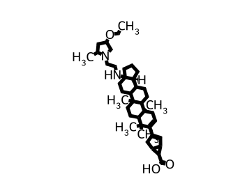 CCOC1CC(C)N(CCNC23CCC[C@@H]2C2CCC4C(C)(CCC5C(C)(C)C(C6=CC7C(C6)C7C(=O)O)=CCC54C)C2CC3)C1